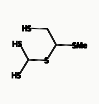 CSC(CS)SC(S)S